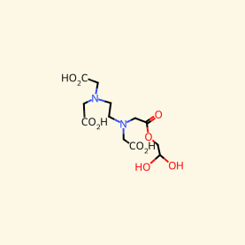 O=C(O)CN(CCN(CC(=O)O)CC(=O)OCC(O)O)CC(=O)O